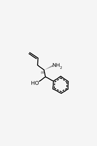 C=CC[C@H](N)C(O)c1ccccc1